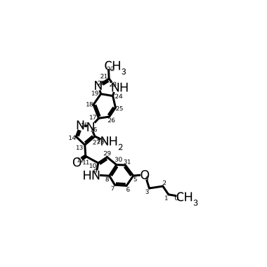 CCCCOc1ccc2[nH]c(C(=O)c3cnn(C4=CC5N=C(C)NC5C=C4)c3N)cc2c1